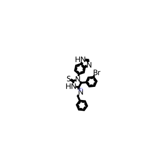 S=C1N/C(=N\Cc2ccccc2)C(c2cccc(Br)c2)N1c1ccc2[nH]cnc2c1